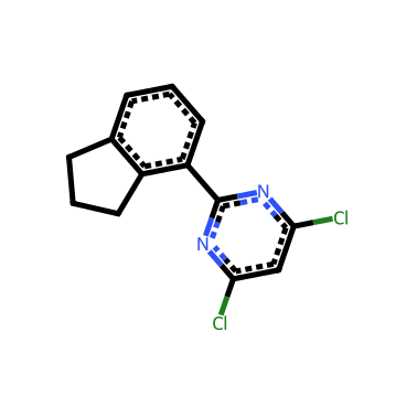 Clc1cc(Cl)nc(-c2cccc3c2CCC3)n1